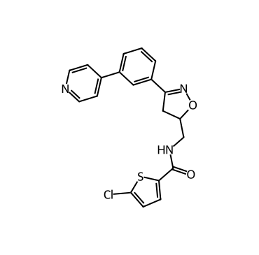 O=C(NCC1CC(c2cccc(-c3ccncc3)c2)=NO1)c1ccc(Cl)s1